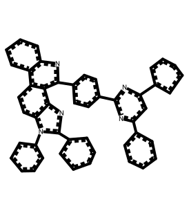 c1ccc(-c2cc(-c3ccccc3)nc(-c3ccc(-c4nc5ccccc5c5ccc6c(nc(-c7ccccc7)n6-c6ccccc6)c45)cc3)n2)cc1